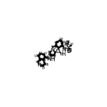 COc1c(CN2CC[C@@H](Nc3cccc4cnccc34)C2)cccc1NS(C)(=O)=O